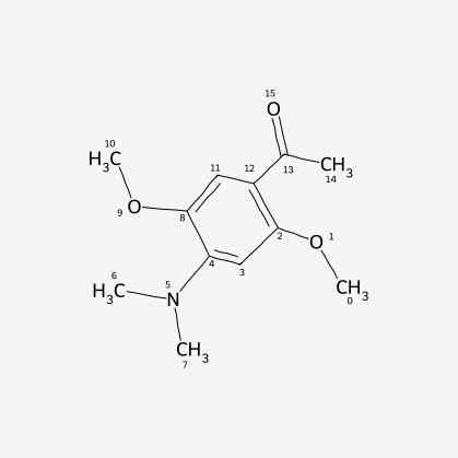 COc1cc(N(C)C)c(OC)cc1C(C)=O